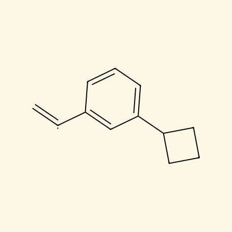 C=[C]c1cccc(C2CCC2)c1